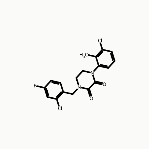 Cc1c(Cl)cccc1N1CCN(Cc2ccc(F)cc2Cl)C(=O)C1=O